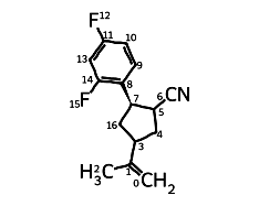 C=C(C)C1CC(C#N)[C@H](c2ccc(F)cc2F)C1